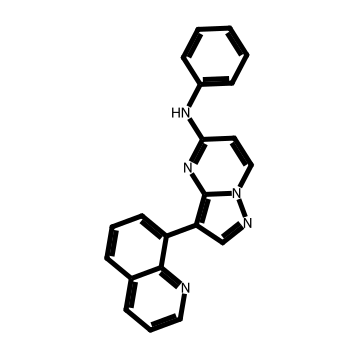 c1ccc(Nc2ccn3ncc(-c4cccc5cccnc45)c3n2)cc1